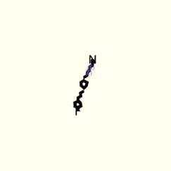 N#C/C=C/C=C/CC[C@H]1CC[C@H](CCCCc2ccc(F)cc2)CC1